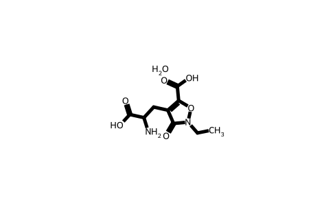 CCn1oc(C(=O)O)c(CC(N)C(=O)O)c1=O.O